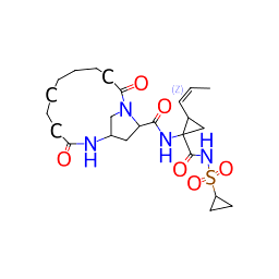 C/C=C\C1CC1(NC(=O)C1CC2CN1C(=O)CCCCCCCC(=O)N2)C(=O)NS(=O)(=O)C1CC1